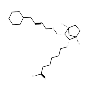 O=C(O)CCCCCC[C@@H]1[C@H](CSCC=CCC2CCCCC2)[C@@H]2CC[C@H]1S2